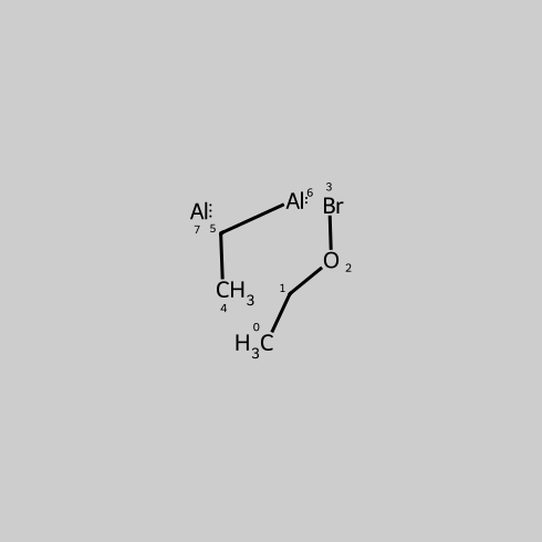 CCOBr.C[CH2][Al].[Al]